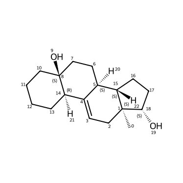 C[C@]12CC=C3[C@@H](CC[C@@]4(O)CCCC[C@H]34)[C@@H]1CC[C@@H]2O